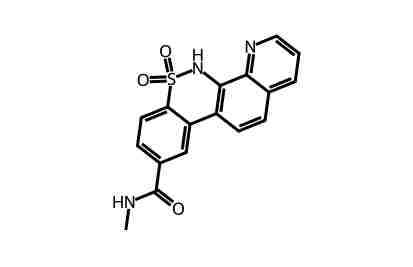 CNC(=O)c1ccc2c(c1)-c1ccc3cccnc3c1NS2(=O)=O